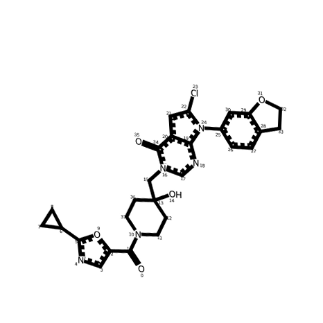 O=C(c1cnc(C2CC2)o1)N1CCC(O)(Cn2cnc3c(cc(Cl)n3-c3ccc4c(c3)OCC4)c2=O)CC1